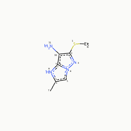 CCSc1nn2cc(C)[nH]c2c1N